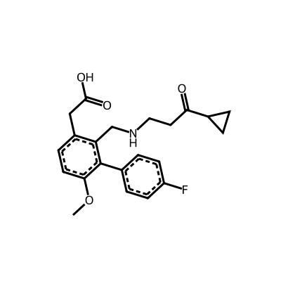 COc1ccc(CC(=O)O)c(CNCCC(=O)C2CC2)c1-c1ccc(F)cc1